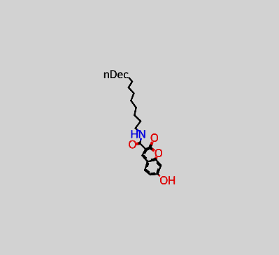 CCCCCCCCCCCCCCCCCCNC(=O)c1cc2ccc(O)cc2oc1=O